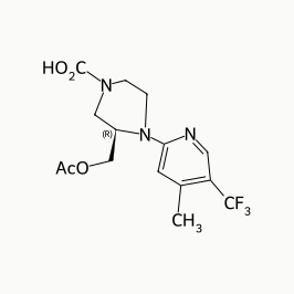 CC(=O)OC[C@H]1CN(C(=O)O)CCN1c1cc(C)c(C(F)(F)F)cn1